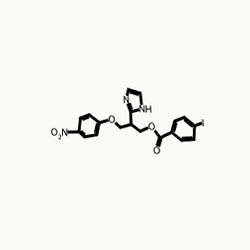 O=C(OCC(COc1ccc([N+](=O)[O-])cc1)c1ncc[nH]1)c1ccc(I)cc1